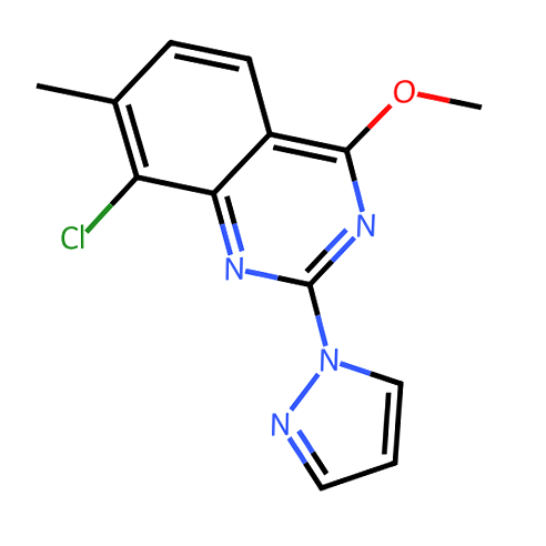 COc1nc(-n2cccn2)nc2c(Cl)c(C)ccc12